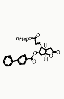 CCCCCCCC(=O)/C=C/[C@@H]1[C@H]2CC(=O)O[C@H]2C[C@H]1OC(=O)c1ccc(-c2ccccc2)cc1